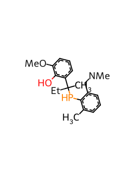 CCC(C)(Pc1c(C)cccc1CNC)c1cccc(OC)c1O